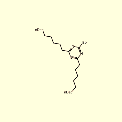 C[CH]c1nc(CCCCCCCCCCCCCCC)nc(CCCCCCCCCCCCCCC)n1